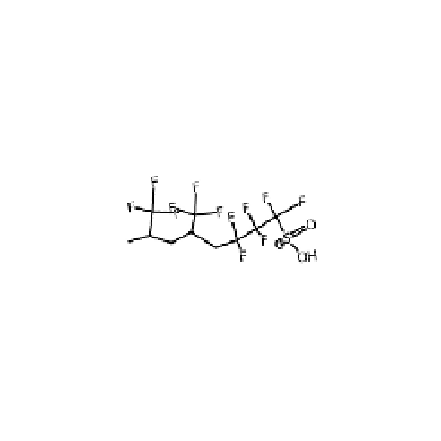 CC(CC(CC(F)(F)C(F)(F)C(F)(F)S(=O)(=O)O)C(F)(F)F)C(F)(F)F